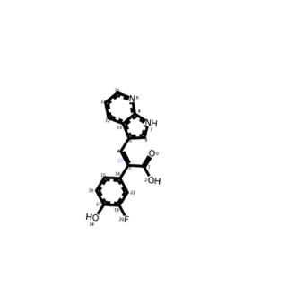 O=C(O)/C(=C\c1c[nH]c2ncccc12)c1ccc(O)c(F)c1